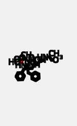 CC(C=O)NCCCCCC(Cc1ccccc1)(Cc1ccccc1)C(NC(=O)O)(NC(=O)O)N[C@@H](C)C=O